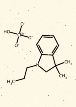 CCCN1CC(C)(C)c2ccccc21.[O-][Cl+3]([O-])([O-])O